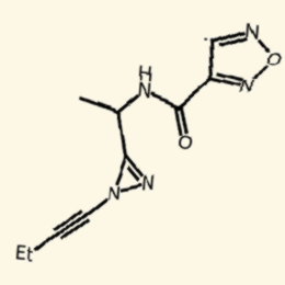 CCC#CN1N=C1C(C)NC(=O)c1[c]non1